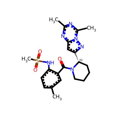 Cc1ccc(NS(C)(=O)=O)c(C(=O)N2CCCC[C@H]2c2cc3nc(C)nc(C)n3n2)c1